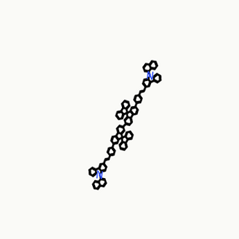 C(=C\c1ccc2c(c1)c1ccccc1n2-c1cccc2ccccc12)/c1ccc(-c2ccc3c(c2)C2(c4ccccc4-c4ccccc42)c2cc(-c4ccc5c(c4)C4(c6ccccc6-c6ccccc64)c4cc(-c6ccc(/C=C/c7ccc8c(c7)c7ccccc7n8-c7cccc8ccccc78)cc6)ccc4-5)ccc2-3)cc1